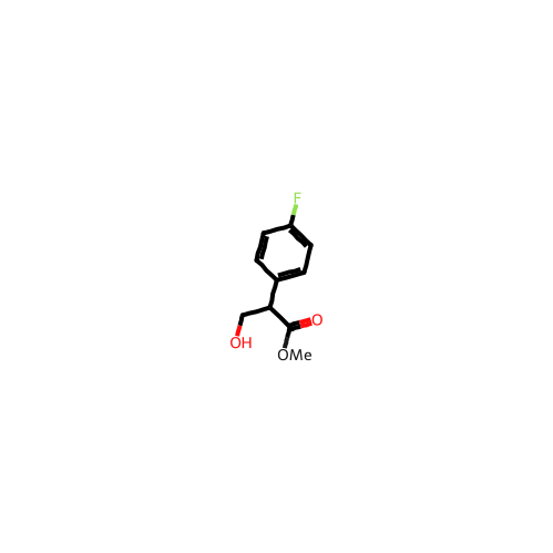 COC(=O)C(CO)c1ccc(F)cc1